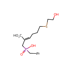 CC(C)CP(=O)(O)CC(=CCCCSCCO)C(=O)O